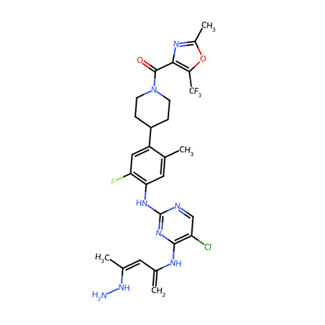 C=C(/C=C(/C)NN)Nc1nc(Nc2cc(C)c(C3CCN(C(=O)c4nc(C)oc4C(F)(F)F)CC3)cc2F)ncc1Cl